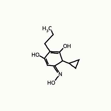 CCCC1=C(O)C(C2CC2)C(=NO)C=C1O